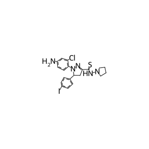 Nc1ccc(N2N=C(C(=S)NN3CCCC3)CC2c2ccc(I)cc2)c(Cl)c1